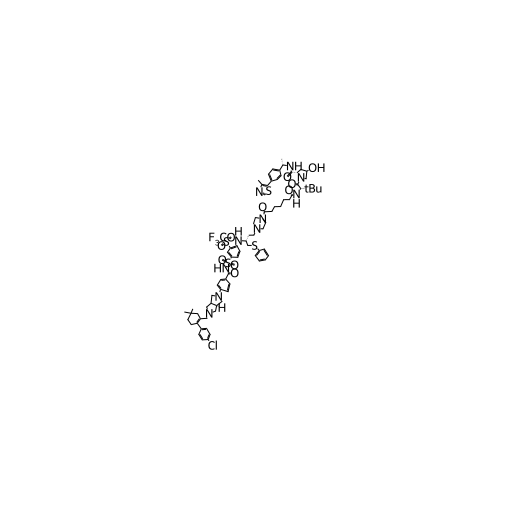 Cc1ncsc1-c1ccc([C@H](C)NC(=O)[C@@H]2C[C@@H](O)CN2C(=O)[C@@H](NC(=O)CCCCCC(=O)N2CCN(CC[C@H](CSc3ccccc3)Nc3ccc(S(=O)(=O)NC(=O)c4ccc(N5CC6CN(CC7=C(c8ccc(Cl)cc8)CCC(C)(C)C7)C[C@@H]6C5)cc4)cc3S(=O)(=O)C(F)(F)F)CC2)C(C)(C)C)cc1